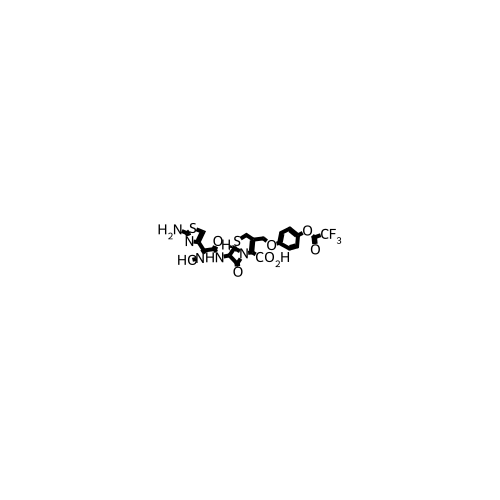 Nc1nc(C(=NO)C(=O)NC2C(=O)N3C(C(=O)O)=C(COc4ccc(OC(=O)C(F)(F)F)cc4)CS[C@@H]23)cs1